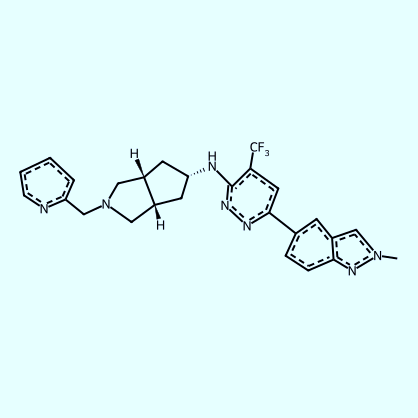 Cn1cc2cc(-c3cc(C(F)(F)F)c(N[C@@H]4C[C@@H]5CN(Cc6ccccn6)C[C@@H]5C4)nn3)ccc2n1